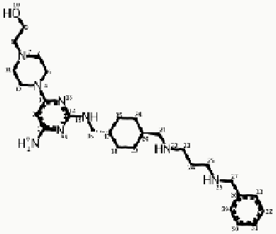 Nc1cc(N2CCN(CCO)CC2)nc(NC[C@H]2CC[C@H](CNCCCNCc3ccccc3)CC2)n1